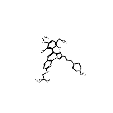 COc1cc(OC)c(Cl)c(-c2cc3cnc(NCC(C)O)nc3n3cc(CCCN4CCN(C)CC4)nc23)c1Cl